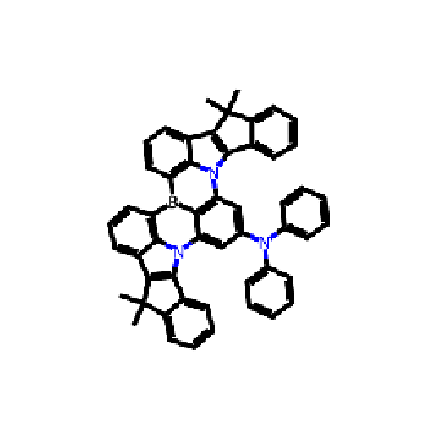 CC1(C)c2ccccc2-c2c1c1cccc3c1n2-c1cc(N(c2ccccc2)c2ccccc2)cc2c1B3c1cccc3c4c(n-2c13)-c1ccccc1C4(C)C